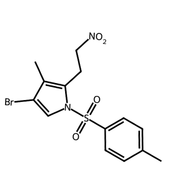 Cc1ccc(S(=O)(=O)n2cc(Br)c(C)c2CC[N+](=O)[O-])cc1